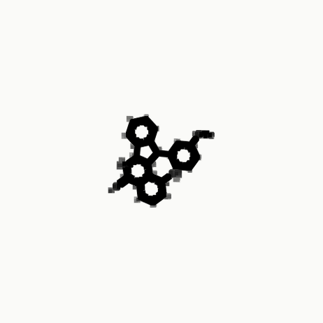 COc1cccc(C2c3ccccc3-c3[nH]c(=O)c4cccc(O)c4c32)c1